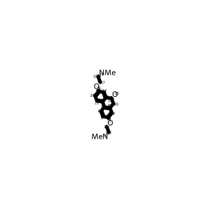 CNCCOc1ccc2c(c1)CC(=O)c1cc(OCCNC)ccc1-2